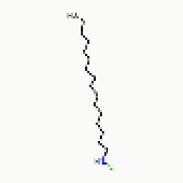 CCCCCCCCCCCCCCCCNCl